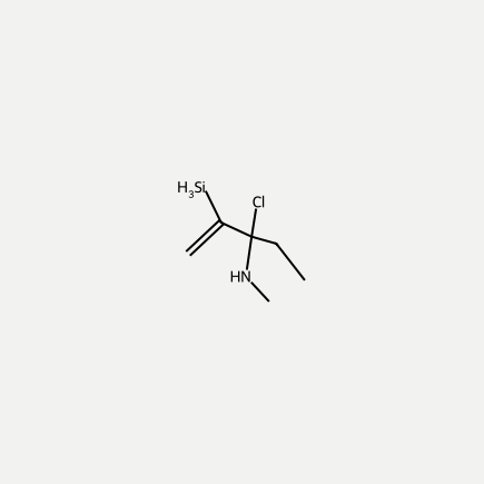 C=C([SiH3])C(Cl)(CC)NC